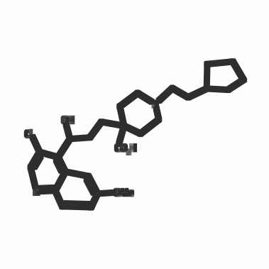 COc1ccc2ncc(Cl)c(C(O)CCC3(C(=O)O)CCN(CCC4CCCC4)CC3)c2c1